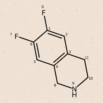 Fc1cc2c(cc1F)CNCC2